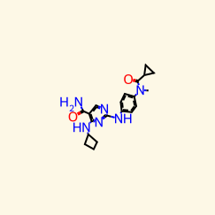 CN(C(=O)C1CC1)c1ccc(Nc2ncc(C(N)=O)c(NC3CCC3)n2)cc1